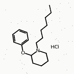 CCCCCCCN1CCCCC1Oc1ccccc1.Cl